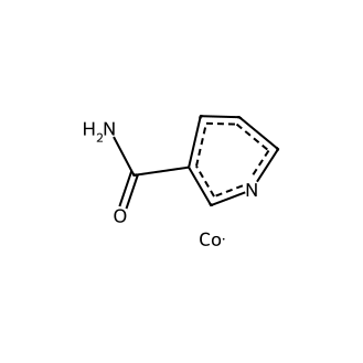 NC(=O)c1cccnc1.[Co]